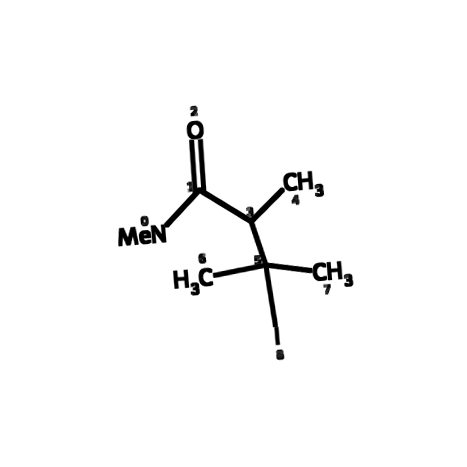 CNC(=O)C(C)C(C)(C)I